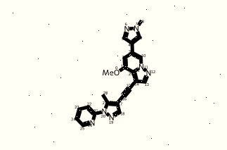 COc1cc(-c2cnn(C)c2)cn2ncc(C#Cc3cnn(-c4ccccn4)c3C)c12